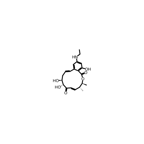 CCNc1cc(O)c2c(c1)/C=C/C[C@H](O)[C@@H](O)C(=O)/C=C/[C@@H](C)[C@H](C)OC2=O